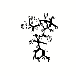 CC(C#N)(NC(=O)[C@@H]1[C@@H]2[C@H](CN1C(=O)[C@@H](N)C(C)(C)C)C2(C)C)c1cncc(F)c1